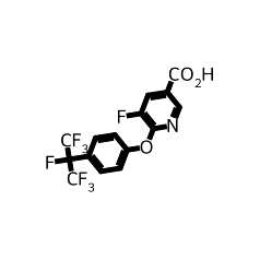 O=C(O)c1cnc(Oc2ccc(C(F)(C(F)(F)F)C(F)(F)F)cc2)c(F)c1